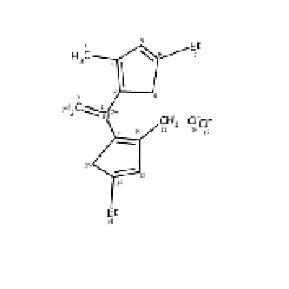 [CH2]=[Ti+2]([C]1=C(C)C=C(CC)C1)[C]1=C(C)C=C(CC)C1.[Cl-].[Cl-]